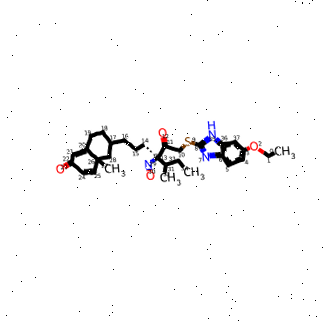 CCOc1ccc2nc(SCC(=O)[C@](CCCC3CCC4=CC(=O)C=CC4(C)C3)(N=O)C(C)CC)[nH]c2c1